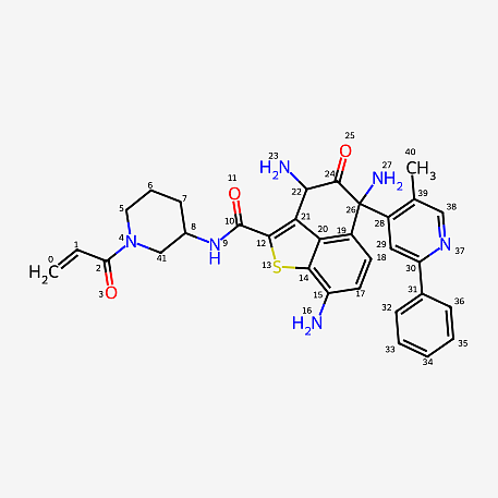 C=CC(=O)N1CCCC(NC(=O)c2sc3c(N)ccc4c3c2C(N)C(=O)C4(N)c2cc(-c3ccccc3)ncc2C)C1